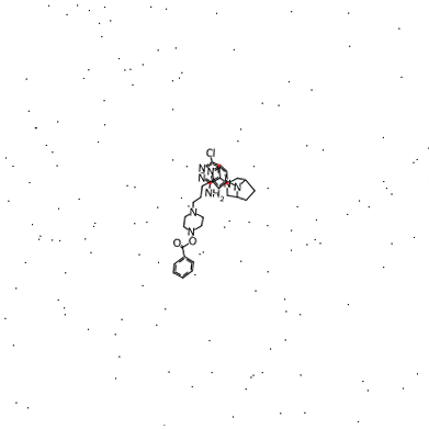 Nc1nnc(Cl)cc1N1CC2CCC(C1)N2c1ccnc(CCCN2CCN(OC(=O)c3ccccc3)CC2)c1